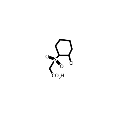 O=C(O)CS(=O)(=O)C1CCCCC1Cl